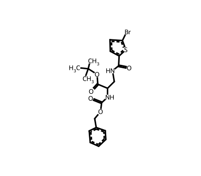 CC(C)(C)OC(=O)C(CNC(=O)c1ccc(Br)s1)NC(=O)OCc1ccccc1